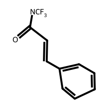 O=C(C=Cc1ccccc1)NC(F)(F)F